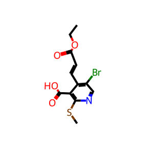 CCOC(=O)/C=C/c1c(Br)cnc(SC)c1C(=O)O